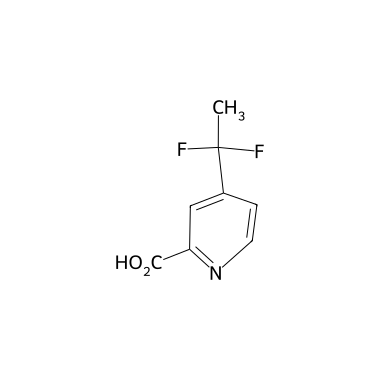 CC(F)(F)c1ccnc(C(=O)O)c1